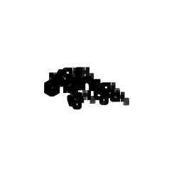 CCc1nc2ccccc2n1-c1nc(N2CCOCC2)c2nc(CC3CN(C(C)(C)C(=O)OC)C3)n(C)c2n1